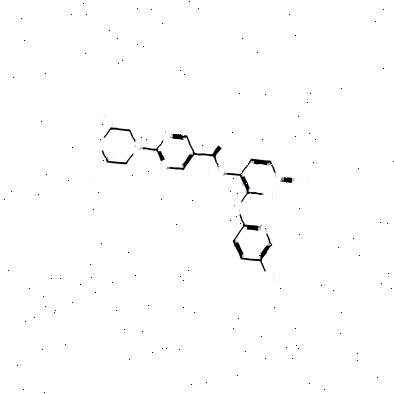 C=N/C=C\C(NC(=O)c1cnc(N2C[C@@H](C)O[C@@H](C)C2)nc1)=C(/C)Nc1ccc(C)cn1